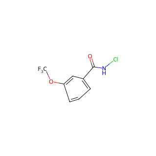 O=C(NCl)c1cccc(OC(F)(F)F)c1